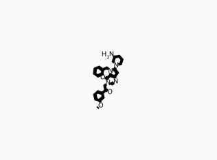 COc1cccc(C(=O)Cn2cnc3cc(N4CCC[C@H](N)C4)n(Cc4ccccc4)c3c2=O)c1